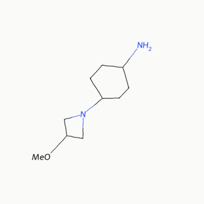 COC1CN(C2CCC(N)CC2)C1